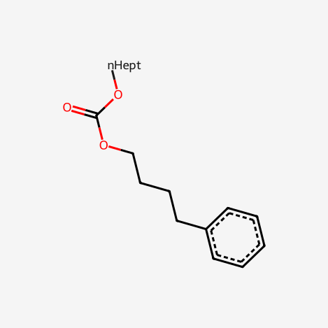 CCCCCCCOC(=O)OCCCCc1ccccc1